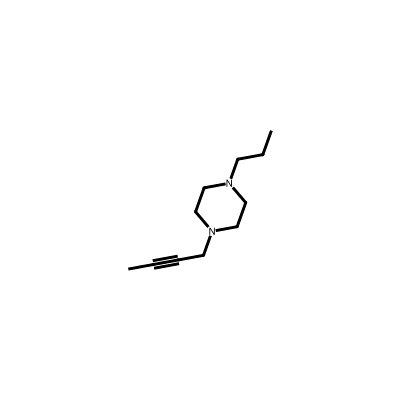 CC#CCN1CCN(CCC)CC1